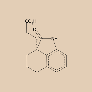 O=C(O)CC[C@@]12CCCc3cccc(c31)NC2=O